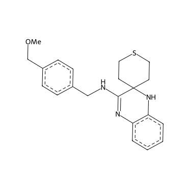 COCc1ccc(CNC2=Nc3ccccc3NC23CCSCC3)cc1